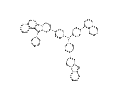 c1ccc(-n2c3cc(-c4ccc(N(c5ccc(-c6ccc7c(c6)sc6ccccc67)cc5)c5ccc(-c6cccc7ccccc67)cc5)cc4)ccc3c3ccc4ccccc4c32)cc1